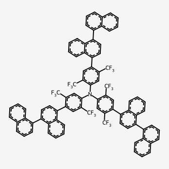 FC(F)(F)c1cc(N(c2cc(C(F)(F)F)c(-c3ccc(-c4cccc5ccccc45)c4ccccc34)cc2C(F)(F)F)c2cc(C(F)(F)F)c(-c3ccc(-c4cccc5ccccc45)c4ccccc34)cc2C(F)(F)F)c(C(F)(F)F)cc1-c1ccc(-c2cccc3ccccc23)c2ccccc12